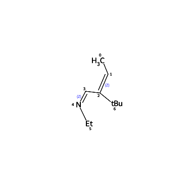 C/C=C(\C=N/CC)C(C)(C)C